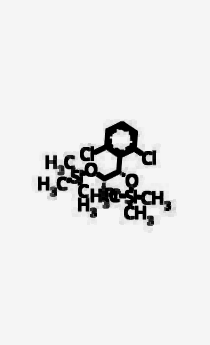 CC(C)[C@H](O[Si](C)(C)C)[C@@H](O[Si](C)(C)C)c1c(Cl)cccc1Cl